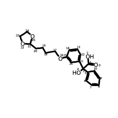 O=C(O)C(O)(c1ccccc1)c1cccc(OCCCCC2OCCO2)c1